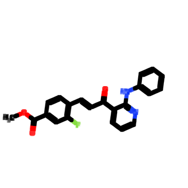 COC(=O)c1ccc(C=CC(=O)c2cccnc2Nc2ccccc2)c(F)c1